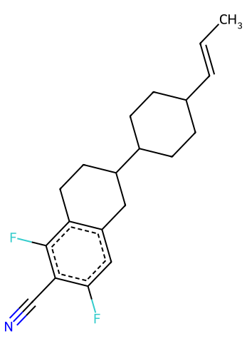 C/C=C/C1CCC(C2CCc3c(cc(F)c(C#N)c3F)C2)CC1